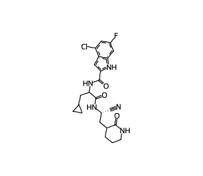 N#C[C@H](CC1CCCNC1=O)NC(=O)C(CC1CC1)NC(=O)c1cc2c(Cl)cc(F)cc2[nH]1